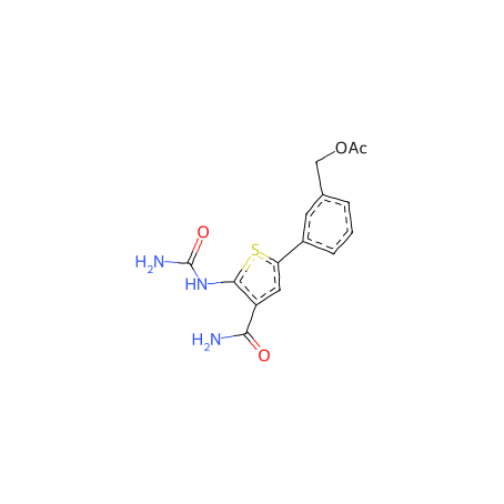 CC(=O)OCc1cccc(-c2cc(C(N)=O)c(NC(N)=O)s2)c1